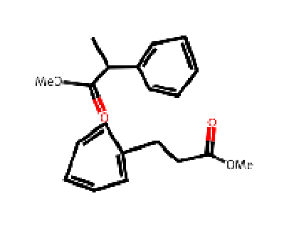 COC(=O)C(C)c1ccccc1.COC(=O)CCc1ccccc1